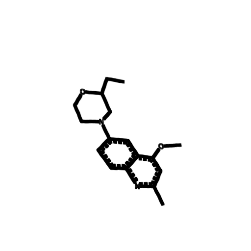 CCC1CN(c2ccc3nc(C)cc(OC)c3c2)CCO1